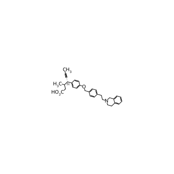 CC#C[C@H](c1ccc(OCc2ccc(CCN3CCc4ccccc4C3)cc2)cc1)C(C)CC(=O)O